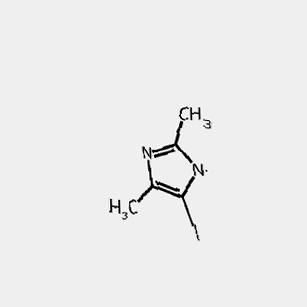 CC1=NC(C)=C(I)[N]1